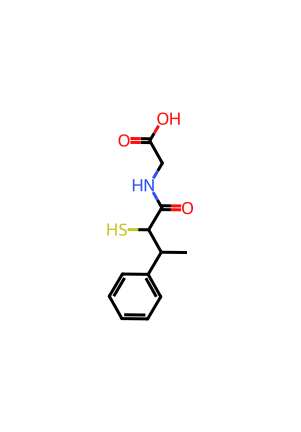 CC(c1ccccc1)C(S)C(=O)NCC(=O)O